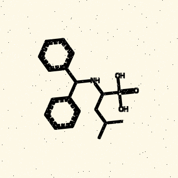 CC(C)CC(NC(c1ccccc1)c1ccccc1)P(=O)(O)O